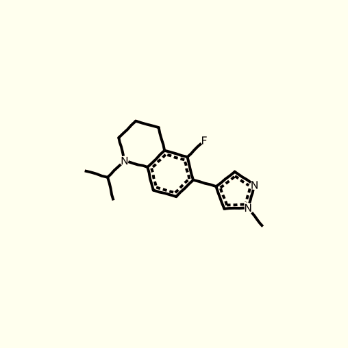 CC(C)N1CCCc2c1ccc(-c1cnn(C)c1)c2F